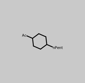 CCCCCC1CCC(C(C)=O)CC1